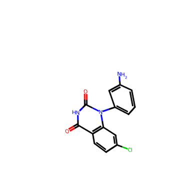 Nc1cccc(-n2c(=O)[nH]c(=O)c3ccc(Cl)cc32)c1